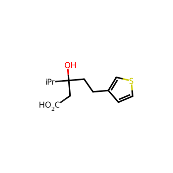 CC(C)C(O)(CCc1ccsc1)CC(=O)O